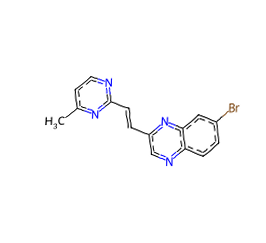 Cc1ccnc(C=Cc2cnc3ccc(Br)cc3n2)n1